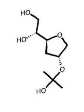 CC(C)(O)O[C@H]1CO[C@H]([C@H](O)CO)C1